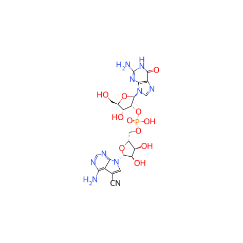 N#Cc1cn([C@@H]2O[C@H](COP(=O)(O)O[C@@H]3[C@H](O)[C@@H](CO)O[C@H]3n3cnc4c(=O)[nH]c(N)nc43)[C@@H](O)[C@H]2O)c2ncnc(N)c12